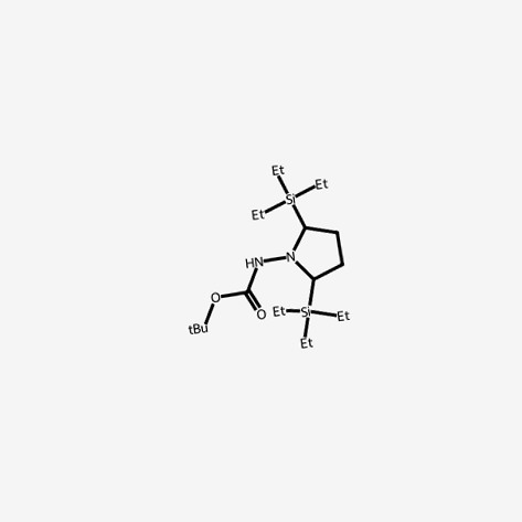 CC[Si](CC)(CC)C1CCC([Si](CC)(CC)CC)N1NC(=O)OC(C)(C)C